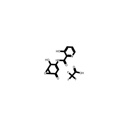 O=C(NC1=CC(=O)C2OC2C1O)c1ncccc1O.O=C(O)C(F)(F)F